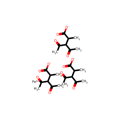 CC(=O)C(C(C)=O)C(C)C(=O)[O-].CC(=O)C(C(C)=O)C(C)C(=O)[O-].CC(=O)C(C(C)=O)C(C)C(=O)[O-].[Fe+3]